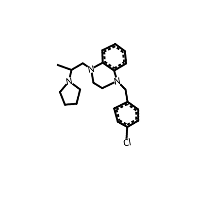 CC(CN1CCN(Cc2ccc(Cl)cc2)c2ccccc21)N1CCCC1